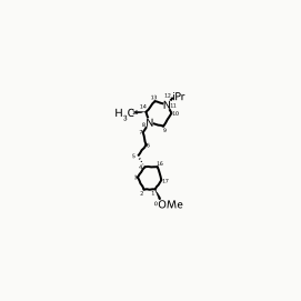 CO[C@H]1CC[C@H](CCCN2CCN(C(C)C)C[C@@H]2C)CC1